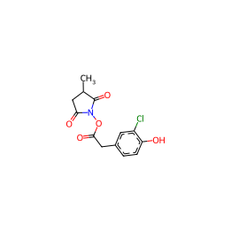 CC1CC(=O)N(OC(=O)Cc2ccc(O)c(Cl)c2)C1=O